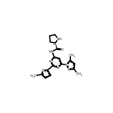 Cc1cc(C)n(-c2cc(NC(=O)[C@H]3CCCN3)nc(-c3ccc(C)o3)n2)n1